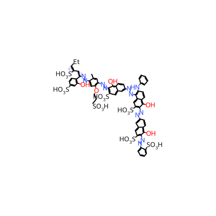 CC/C=C(\C=C(\N=Nc1cc(OCCCS(=O)(=O)O)c(/N=N/c2c(S(=O)(=O)O)cc3cc(N=Nc4c(Nc5ccccc5)ccc5c(O)c(N=Nc6ccc7c(O)c(N=Nc8ccccc8S(=O)(=O)O)c(S(=O)(=O)O)cc7c6)c(S(=O)(=O)O)cc45)ccc3c2O)cc1C)c1ccc(S(=O)(=O)O)cc1O)S(=O)(=O)O